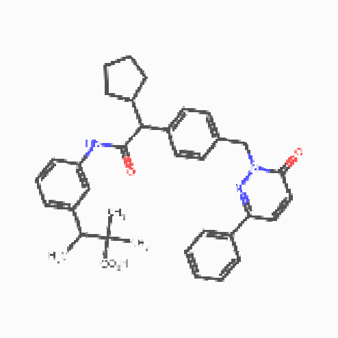 CC(c1cccc(NC(=O)C(c2ccc(Cn3nc(-c4ccccc4)ccc3=O)cc2)C2CCCC2)c1)C(C)(C)C(=O)O